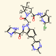 Cc1ncc(-c2ccc3c(c2)c(C(=O)c2ncc[nH]2)nn3CC(=O)N2[C@H](C(=O)Nc3nc(Br)ccc3C)C[C@@]3(C)C[C@@H]23)cn1